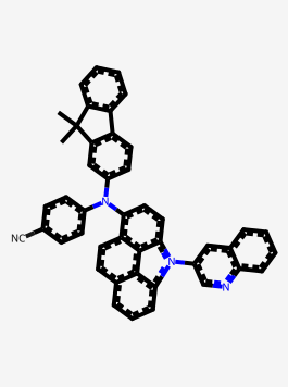 CC1(C)c2ccccc2-c2ccc(N(c3ccc(C#N)cc3)c3ccc4c5c3ccc3cccc(c35)n4-c3cnc4ccccc4c3)cc21